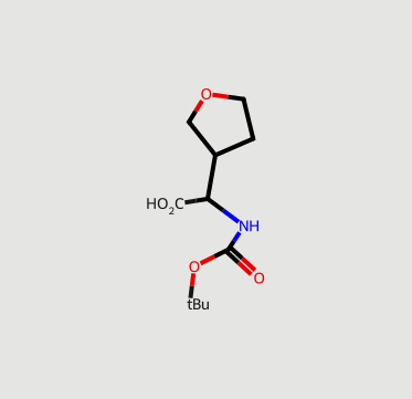 CC(C)(C)OC(=O)NC(C(=O)O)C1CCOC1